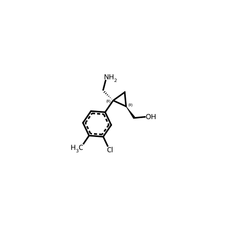 Cc1ccc([C@@]2(CN)C[C@H]2CO)cc1Cl